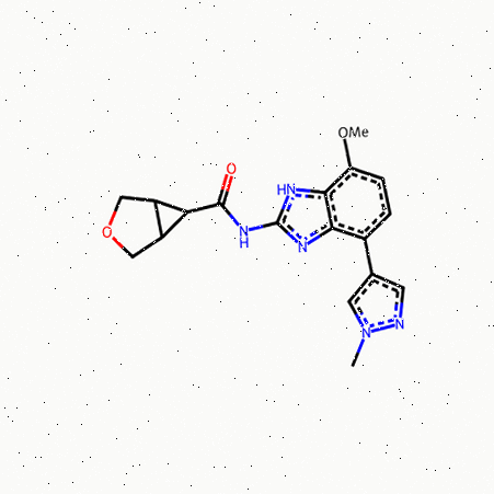 COc1ccc(-c2cnn(C)c2)c2nc(NC(=O)C3C4COCC43)[nH]c12